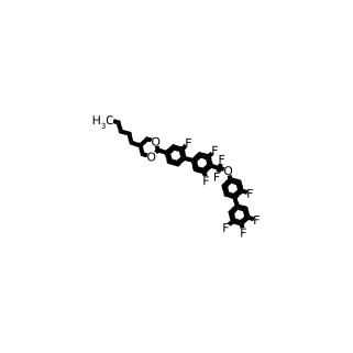 CCCCCC1COC(c2ccc(-c3cc(F)c(C(F)(F)Oc4ccc(-c5cc(F)c(F)c(F)c5)c(F)c4)c(F)c3)c(F)c2)OC1